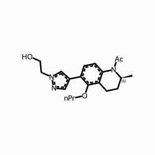 CCCOc1c(-c2cnn(CCO)c2)ccc2c1CC[C@H](C)N2C(C)=O